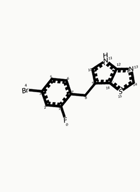 Fc1cc(Br)ccc1Cc1c[nH]c2ncsc12